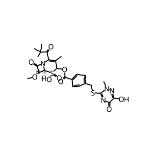 CO[C@H]1C(=O)N2C(C(=O)C(C)(C)C)=C(C)C(OC(=O)c3ccc(CSc4nc(=O)c(O)nn4C)cc3)S(=O)(=O)[C@@H]12